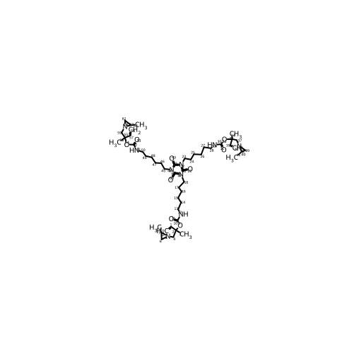 C=CC(C)(CN1CC1C)OC(=O)NCCCCCCn1c(=O)n(CCCCCCNC(=O)OC(C)(C=C)CN2CC2C)c(=O)n(CCCCCCNC(=O)OC(C)(C=C)CN2CC2C)c1=O